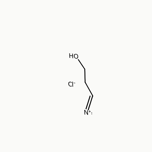 [Cl-].[N+]=CCCO